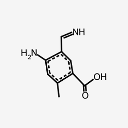 Cc1cc(N)c(C=N)cc1C(=O)O